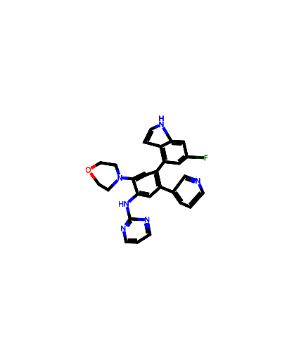 Fc1cc(-c2cc(N3CCOCC3)c(Nc3ncccn3)cc2-c2cccnc2)c2cc[nH]c2c1